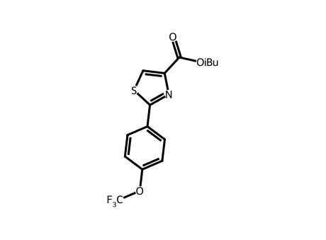 CC(C)COC(=O)c1csc(-c2ccc(OC(F)(F)F)cc2)n1